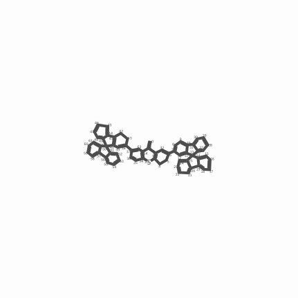 C=C1C2=C(CCC(c3ccc4c(c3)C3(c5ccccc5-c5ccccc53)c3ccccc3-4)=C2)Sc2ccc(C3=CC4=C(CC3)c3ccccc3C43c4ccccc4-c4ccccc43)cc21